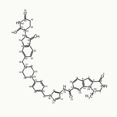 C[C@@H]1CNC(=O)c2cc3ccc(C(=O)Nc4cnn(Cc5ccc(N6CCN(Cc7ccc8c(c7)CN(N7CCC(=O)NC7=O)C8=O)CC6)cc5)c4)nc3n21